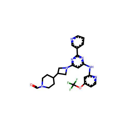 O=CN1CCC(C2CN(c3cc(Nc4cc(OC(F)(F)F)ccn4)nc(-c4cccnc4)n3)C2)CC1